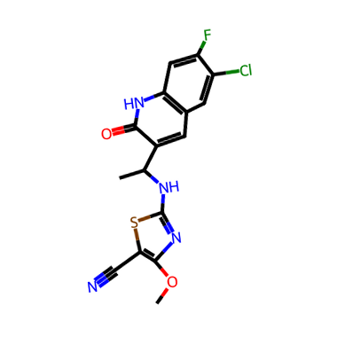 COc1nc(NC(C)c2cc3cc(Cl)c(F)cc3[nH]c2=O)sc1C#N